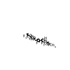 Cn1cc(Nc2ncc(-c3ccc(CC(=O)Nc4cc(C5(C(F)(F)F)CC5)on4)c(F)c3)cn2)c(C(F)(F)F)n1